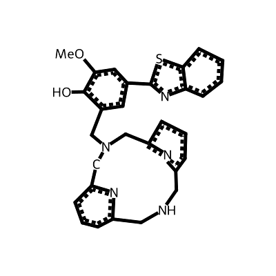 COc1cc(-c2nc3ccccc3s2)cc(CN2Cc3cccc(n3)CNCc3cccc(n3)C2)c1O